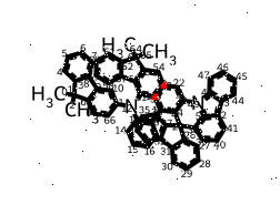 CC1(C)c2ccccc2-c2cc(N(c3ccccc3-c3cccc4c3C3(c5ccccc5-c5ccccc53)c3cccc5c6ccccc6n-4c35)c3cccc4c3-c3ccccc3C4(C)C)ccc21